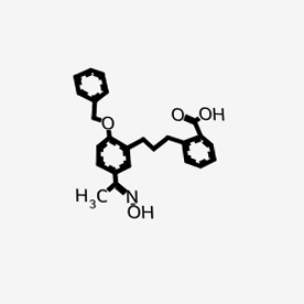 CC(=NO)c1ccc(OCc2ccccc2)c(CCCc2ccccc2C(=O)O)c1